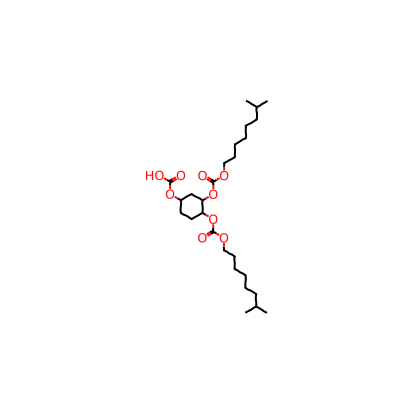 CC(C)CCCCCCOC(=O)OC1CCC(OC(=O)O)CC1OC(=O)OCCCCCCC(C)C